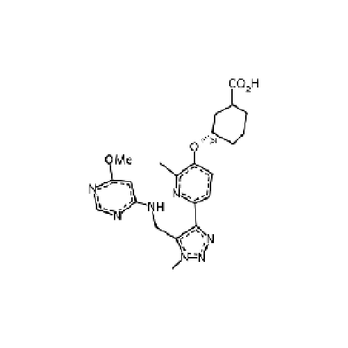 COc1cc(NCc2c(-c3ccc(O[C@H]4CCCC(C(=O)O)C4)c(C)n3)nnn2C)ncn1